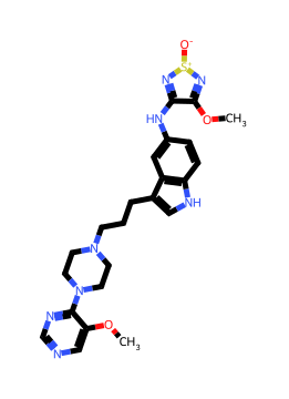 COc1cncnc1N1CCN(CCCc2c[nH]c3ccc(Nc4n[s+]([O-])nc4OC)cc23)CC1